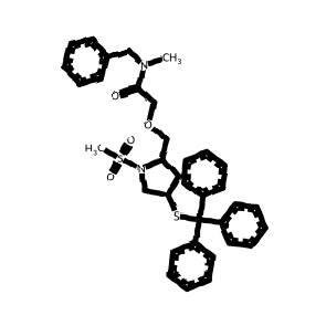 CN(Cc1ccccc1)C(=O)COCC1CC(SC(c2ccccc2)(c2ccccc2)c2ccccc2)CN1S(C)(=O)=O